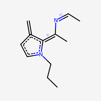 C=c1ccn(CCC)/c1=C(C)/N=C\C